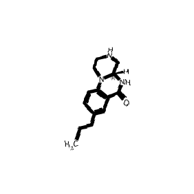 CCCc1ccc2c(c1)C(=O)N[C@H]1CNCCN21